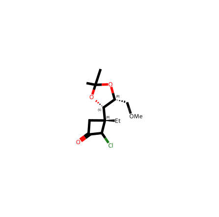 CC[C@]1([C@@H]2OC(C)(C)O[C@@H]2COC)CC(=O)C1Cl